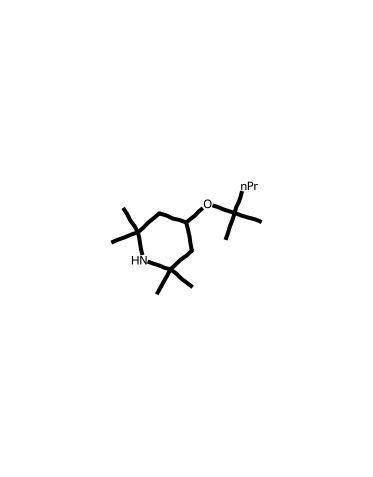 CCCC(C)(C)OC1CC(C)(C)NC(C)(C)C1